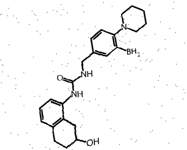 Bc1cc(CNC(=O)Nc2cccc3c2CC(O)CC3)ccc1N1CCCCC1